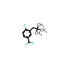 CC(C)(C)Cc1cc(C(F)F)ccc1F